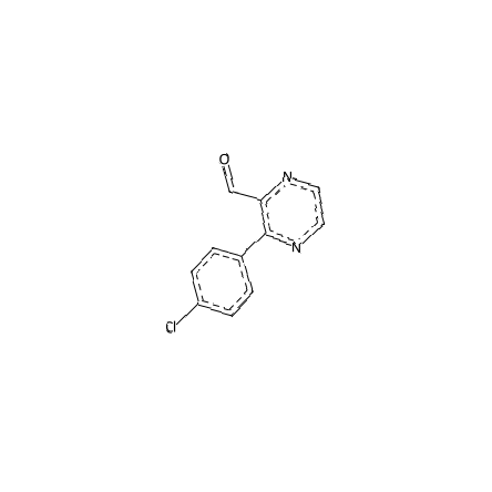 O=Cc1nccnc1-c1ccc(Cl)cc1